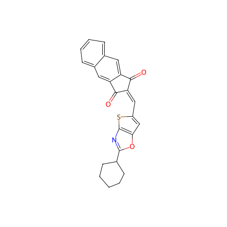 O=C1C(=Cc2cc3oc(C4CCCCC4)nc3s2)C(=O)c2cc3ccccc3cc21